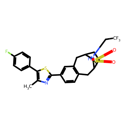 Cc1nc(-c2ccc3c(c2)CC2CCC(C3)C23CN(CC(F)(F)F)S(=O)(=O)N3)sc1-c1ccc(F)cc1